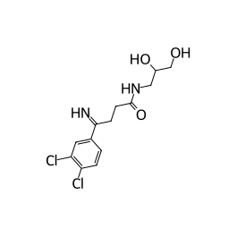 N=C(CCC(=O)NCC(O)CO)c1ccc(Cl)c(Cl)c1